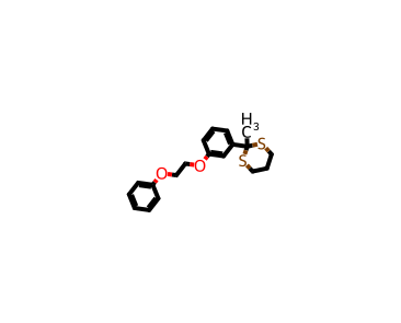 CC1(c2cccc(OCCOc3ccccc3)c2)SCCCS1